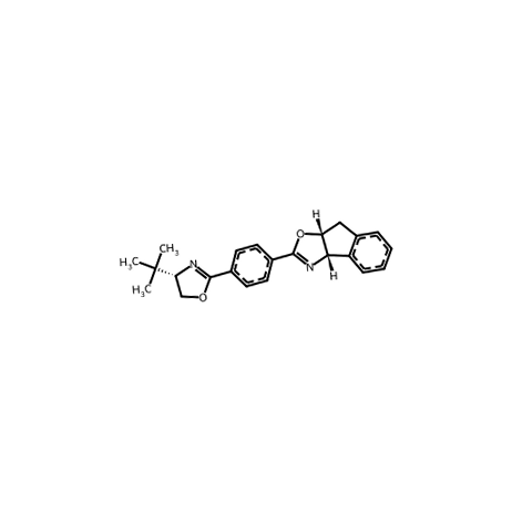 CC(C)(C)[C@H]1COC(c2ccc(C3=N[C@H]4c5ccccc5C[C@H]4O3)cc2)=N1